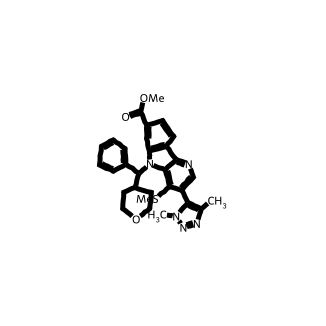 COC(=O)c1ccc2c3ncc(-c4c(C)nnn4C)c(SC)c3n(C(c3ccccc3)C3CCOCC3)c2c1